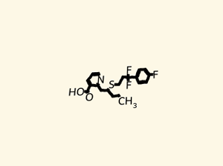 CCCC(Cc1ncccc1C(=O)O)SCCC(F)(F)c1ccc(F)cc1